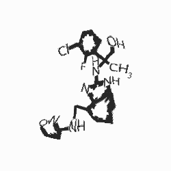 CC(CO)(Nc1nc2c(CNc3ccon3)cccc2[nH]1)c1cccc(Cl)c1F